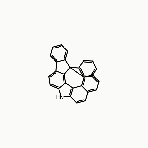 c1ccc(C23c4ccccc4-c4ccc5[nH]c6ccc7cccc2c7c6c5c43)cc1